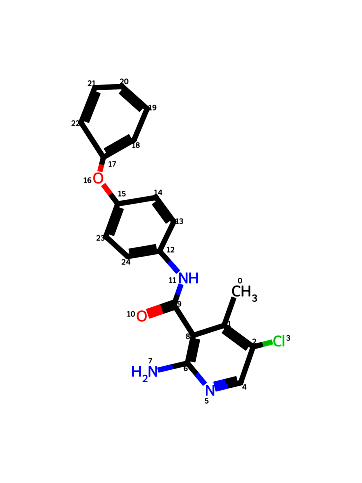 Cc1c(Cl)cnc(N)c1C(=O)Nc1ccc(Oc2ccccc2)cc1